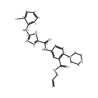 C=CCOC(=O)c1cc(NC(=O)c2nnc(Nc3ccccc3F)o2)ccc1N1CCOCC1